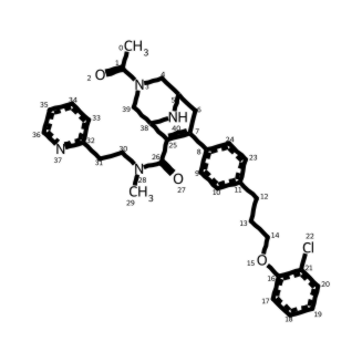 CC(=O)N1CC2CC(c3ccc(CCCOc4ccccc4Cl)cc3)=C(C(=O)N(C)CCc3ccccn3)C(C1)N2